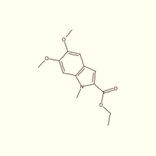 CCOC(=O)c1cc2cc(OC)c(OC)cc2n1C